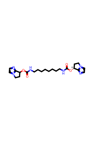 O=C(NCCCCCCCCNC(=O)O[C@@H]1CCn2ccnc21)OC1CCn2ccnc21